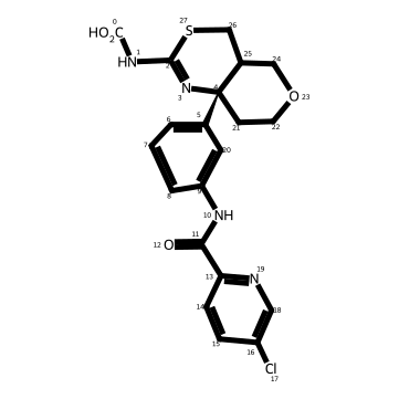 O=C(O)NC1=N[C@@]2(c3cccc(NC(=O)c4ccc(Cl)cn4)c3)CCOCC2CS1